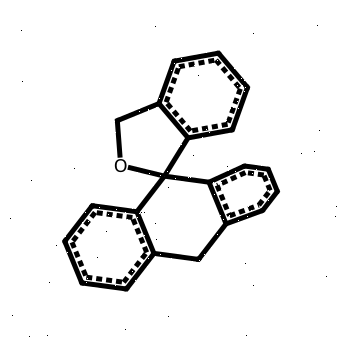 c1ccc2c(c1)COC21c2ccccc2Cc2ccccc21